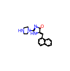 O=C1N=C(N2CCNCC2)NC1=Cc1cccc2ccccc12